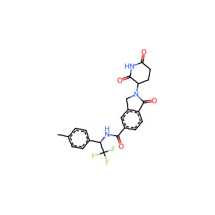 Cc1ccc([C@@H](NC(=O)c2ccc3c(c2)CN(C2CCC(=O)NC2=O)C3=O)C(F)(F)F)cc1